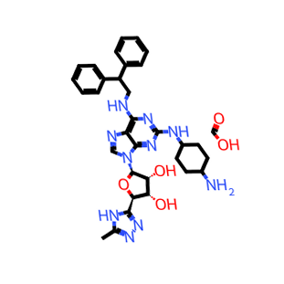 Cc1nnc([C@H]2O[C@@H](n3cnc4c(NCC(c5ccccc5)c5ccccc5)nc(NC5CCC(N)CC5)nc43)[C@H](O)[C@@H]2O)[nH]1.O=CO